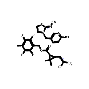 Cc1c(F)c(F)c(COC(=O)C2C(/C=C(\Cl)C(F)(F)F)C2(C)C)c(F)c1F.N#C/N=C1\SCCN1Cc1ccc(Cl)nc1